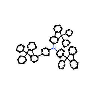 c1ccc(C2(c3ccc(N(c4ccc(-c5cccc6c5-c5ccccc5C6(c5ccccc5)c5ccccc5)cc4)c4ccc5c(c4)C(c4ccccc4)(c4ccccc4)c4ccccc4-5)cc3)c3ccccc3-c3ccccc32)cc1